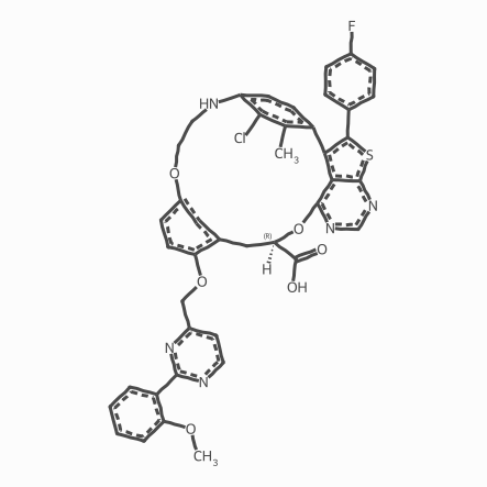 COc1ccccc1-c1nccc(COc2ccc3cc2C[C@H](C(=O)O)Oc2ncnc4sc(-c5ccc(F)cc5)c(c24)-c2ccc(c(Cl)c2C)NCCO3)n1